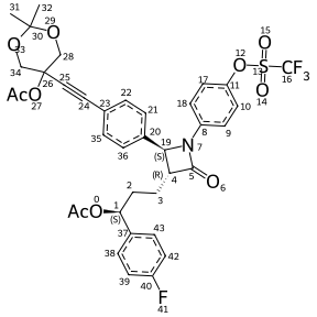 CC(=O)O[C@@H](CC[C@H]1C(=O)N(c2ccc(OS(=O)(=O)C(F)(F)F)cc2)[C@@H]1c1ccc(C#CC2(OC(C)=O)COC(C)(C)OC2)cc1)c1ccc(F)cc1